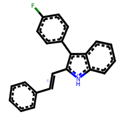 Fc1ccc(-c2c(/C=C/c3ccccc3)[nH]c3ccccc23)cc1